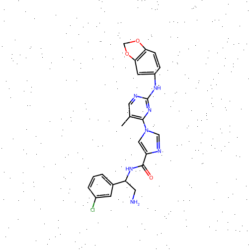 Cc1cnc(Nc2ccc3c(c2)OCO3)nc1-n1cnc(C(=O)NC(CN)c2cccc(Cl)c2)c1